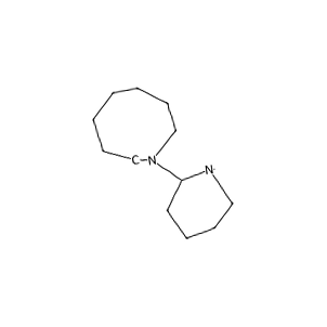 C1CCCN(C2CCCC[N]2)CCC1